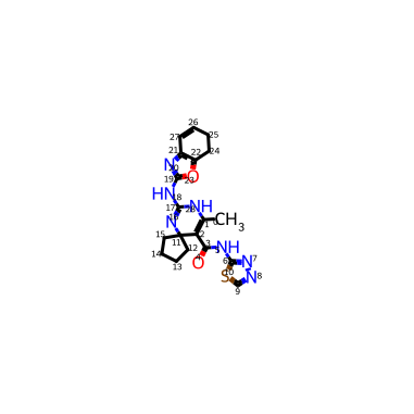 CC1=C(C(=O)Nc2nncs2)C2(CCCC2)N=C(Nc2nc3c(o2)CCC=C3)N1